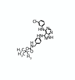 CC(C)(C)OC(=O)NCc1ccc(Nc2n[nH]c3ncnc(Nc4cccc(Cl)c4)c23)cc1